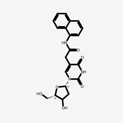 O=C(Cc1cn([C@@H]2CC(O)[C@H](CO)O2)c(=O)[nH]c1=O)Nc1cccc2ccccc12